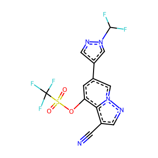 N#Cc1cnn2cc(-c3cnn(C(F)F)c3)cc(OS(=O)(=O)C(F)(F)F)c12